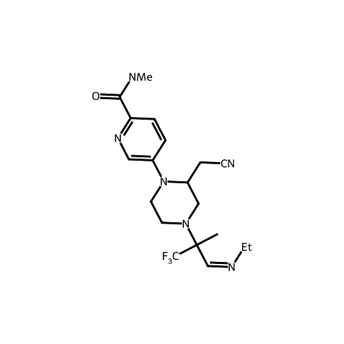 CC/N=C\C(C)(N1CCN(c2ccc(C(=O)NC)nc2)C(CC#N)C1)C(F)(F)F